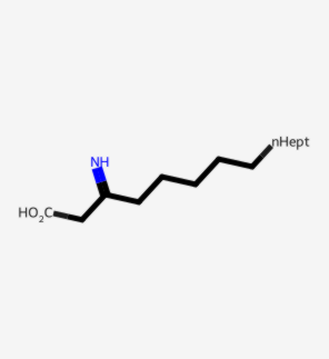 CCCCCCCCCCCCC(=N)CC(=O)O